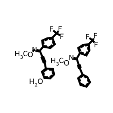 CON=C(C#Cc1ccccc1)c1ccc(C(F)(F)F)cc1.CON=C(C#Cc1ccccc1)c1ccc(C(F)(F)F)cc1.O